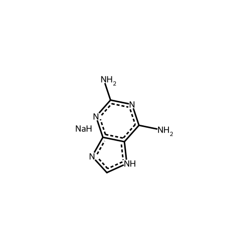 Nc1nc(N)c2[nH]cnc2n1.[NaH]